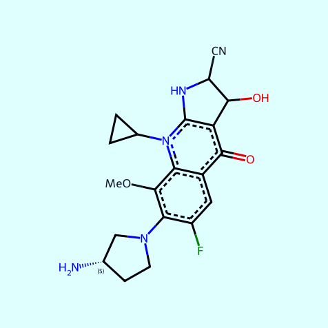 COc1c(N2CC[C@H](N)C2)c(F)cc2c(=O)c3c(n(C4CC4)c12)NC(C#N)C3O